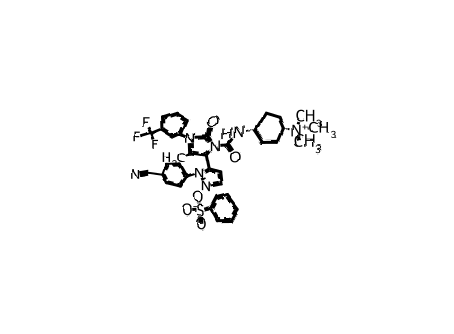 Cc1c(-c2ccnn2-c2ccc(C#N)cc2)n(C(=O)N[C@H]2CC[C@@H]([N+](C)(C)C)CC2)c(=O)n1-c1cccc(C(F)(F)F)c1.O=S(=O)([O-])c1ccccc1